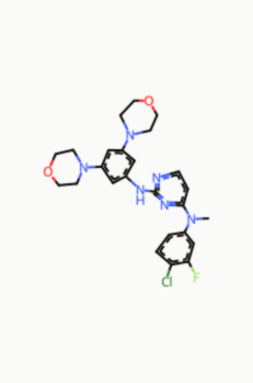 CN(c1ccc(Cl)c(F)c1)c1ccnc(Nc2cc(N3CCOCC3)cc(N3CCOCC3)c2)n1